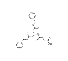 O=C(O)CCC(=O)NC(CC(=O)OCc1ccccc1)CC(=O)OCc1ccccc1